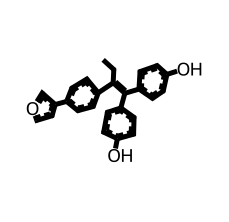 CCC(=C(c1ccc(O)cc1)c1ccc(O)cc1)c1ccc(-c2ccoc2)cc1